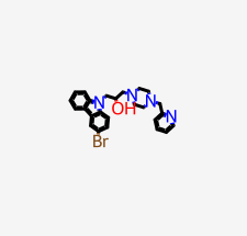 OC(CN1CCN(Cc2ccccn2)CC1)Cn1c2ccccc2c2cc(Br)ccc21